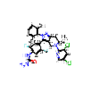 CCc1cccc(CC)c1-n1nc2c(c1-c1cc(F)c(NC(N)=O)cc1F)CN(c1ncc(Cl)cc1Cl)[C@@H](C)C2